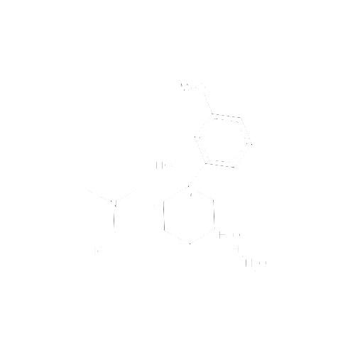 COc1cccc([C@@]2(O)CCCC[C@@H]2CN(C)C)c1.Cl.O.O.O